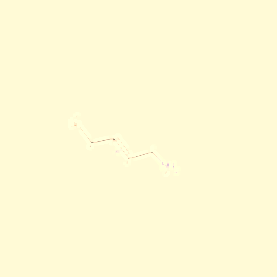 NC/C=C/CBr